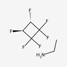 CCN.F[C@H]1[C@H](F)C(F)(F)C1(F)F